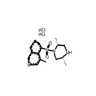 Cc1cncc2cccc(S(=O)(=O)N3C[C@@H](C)NC[C@H]3C)c12.Cl.Cl